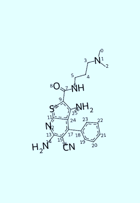 CN(C)CCCNC(=O)c1sc2nc(N)c(C#N)c(-c3ccccc3)c2c1N